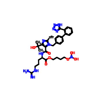 CCCc1nc(C(C)(C)O)c(C(=O)NC(CCCNC(=N)N)C(=O)OCCCCON(O)O)n1Cc1ccc(-c2ccccc2-c2nnn[nH]2)cc1